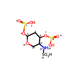 O=S(O)OC1CC(OS(=O)O)C(NS(=O)(=O)O)CO1